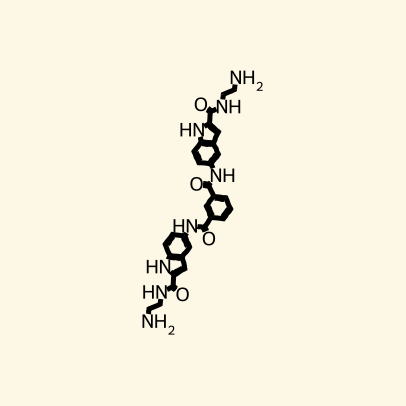 NCCNC(=O)c1cc2cc(NC(=O)c3cccc(C(=O)Nc4ccc5[nH]c(C(=O)NCCN)cc5c4)c3)ccc2[nH]1